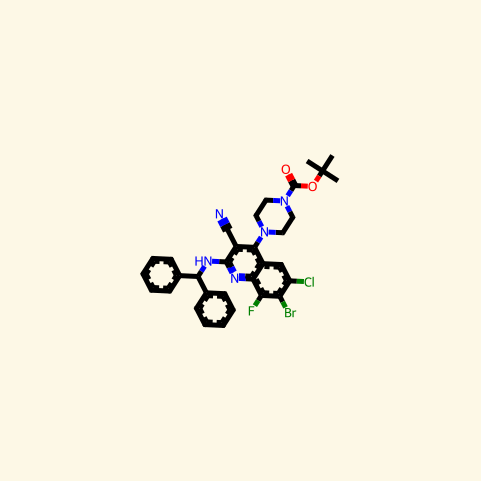 CC(C)(C)OC(=O)N1CCN(c2c(C#N)c(NC(c3ccccc3)c3ccccc3)nc3c(F)c(Br)c(Cl)cc23)CC1